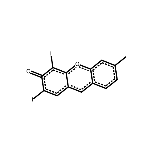 Cc1ccc2cc3cc(I)c(=O)c(I)c-3oc2c1